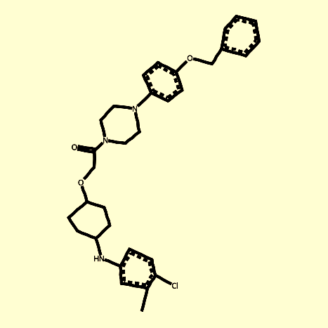 Cc1cc(NC2CCC(OCC(=O)N3CCN(c4ccc(OCc5ccccc5)cc4)CC3)CC2)ccc1Cl